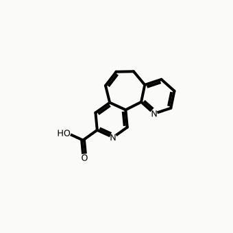 O=C(O)c1cc2c(cn1)-c1ncccc1CC=C2